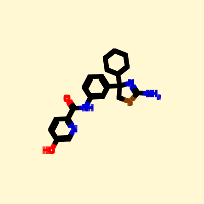 NC1=NC(c2cccc(NC(=O)c3ccc(O)cn3)c2)(C2CCCCC2)CS1